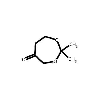 CC1(C)OCCC(=O)CO1